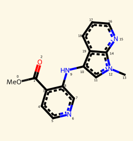 COC(=O)c1ccncc1Nc1cn(C)c2ncccc12